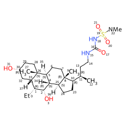 CC[C@H]1[C@@H](O)[C@@H]2[C@H](CC[C@]3(C)[C@@H]([C@H](C)CCNC(=O)NS(=O)(=O)NC)CC[C@@H]23)[C@@]2(C)CC[C@@H](O)C[C@@H]12